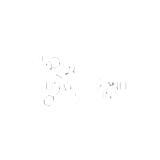 N#C/C(=C\c1cccc(Br)n1)C(=O)N[C@@H](COC(=O)CCCC[C@H]1SC[C@H]2NC(=O)NC21)c1ccccc1